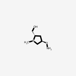 CN1C[C@H](ON)C[C@H]1CO